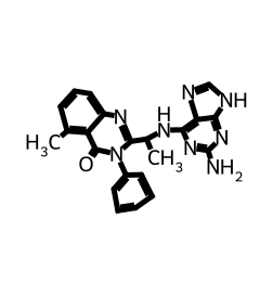 Cc1cccc2nc(C(C)Nc3nc(N)nc4[nH]cnc34)n(-c3ccccc3)c(=O)c12